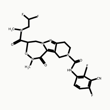 CN(CC(F)F)C(=O)C1Cn2nc3c(c2C(=O)N(C)O1)CN(C(=O)Nc1ccc(F)c(C#N)c1F)CC3